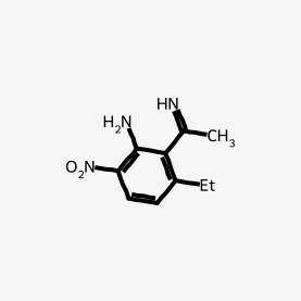 CCc1ccc([N+](=O)[O-])c(N)c1C(C)=N